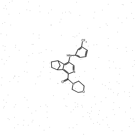 O=C(c1ncc(Nc2cccc(C(F)(F)F)c2)c2c1C1CCC2C1)N1CCOCC1